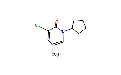 O=C(O)c1cc(Br)c(=O)n(C2CCCC2)c1